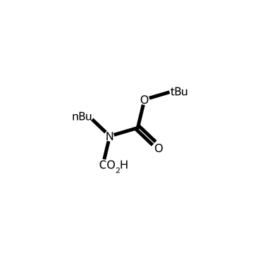 CCCCN(C(=O)O)C(=O)OC(C)(C)C